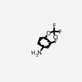 Nc1ccc(OC(F)(F)Cl)c(F)c1